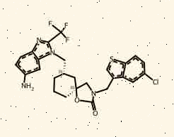 Nc1ccc2nc(C(F)(F)F)n(C[C@H]3CCC[C@]4(C3)CN(Cc3csc5ccc(Cl)cc35)C(=O)O4)c2c1